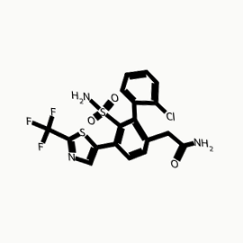 NC(=O)Cc1ccc(-c2cnc(C(F)(F)F)s2)c(S(N)(=O)=O)c1-c1ccccc1Cl